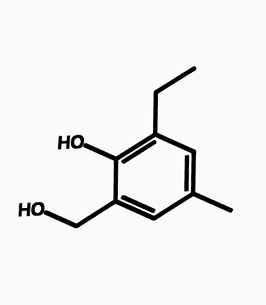 CCc1cc(C)cc(CO)c1O